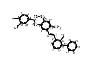 Cc1ccc(COc2cc(/C=C/c3cccc(-c4ccccc4)c3C)c(C(F)(F)F)cc2C=O)cc1I